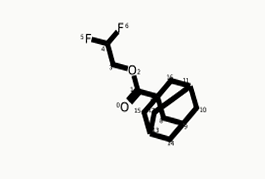 O=C(OCC(F)F)C12CC3CC(CC(C3)C1)C2